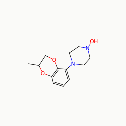 CC1COc2c(cccc2N2CCN(O)CC2)O1